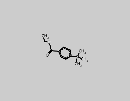 CCOC(=O)c1ccc([Si](C)(C)C)cc1